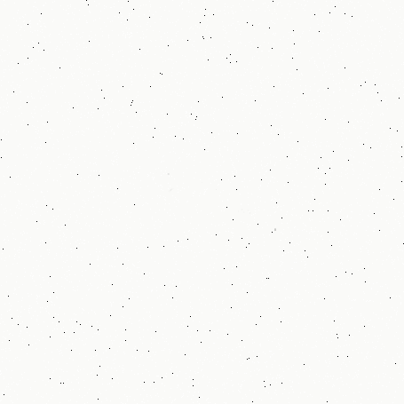 CCc1ccc(C2=CCC(C#CC(C)C(C)(C)C)C=C2)cc1